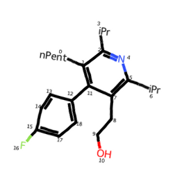 CCCCCc1c(C(C)C)nc(C(C)C)c(CCO)c1-c1ccc(F)cc1